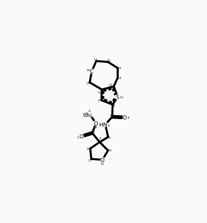 CC(C)(C)OC(=O)C1(CNC(=O)c2cc3c(s2)CCCCCC3)CCOC1